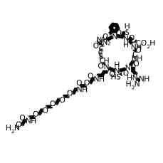 N=C(N)NCCC[C@@H]1NC(=O)[C@H](CS)NC(=O)[C@H](CCCCNC(=O)COCC(=O)NCCOCCOCCOCCOCCOCCNC(=O)CON)NC(=O)CSCC[C@@H](C(N)=O)NC(=O)[C@H](Cc2ccccc2)NC(=O)C(CS)NC(=O)[C@H](CC(=O)O)NC(=O)CNC1=O